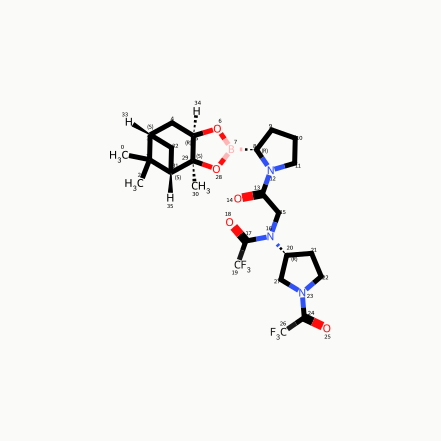 CC1(C)[C@@H]2C[C@H]3OB([C@@H]4CCCN4C(=O)CN(C(=O)C(F)(F)F)[C@@H]4CCN(C(=O)C(F)(F)F)C4)O[C@@]3(C)[C@H]1C2